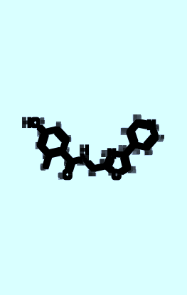 Cc1cc(O)ccc1C(=O)NCc1nc(-c2ccncc2)co1